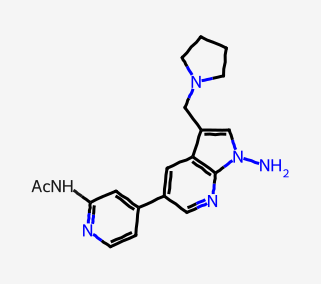 CC(=O)Nc1cc(-c2cnc3c(c2)c(CN2CCCC2)cn3N)ccn1